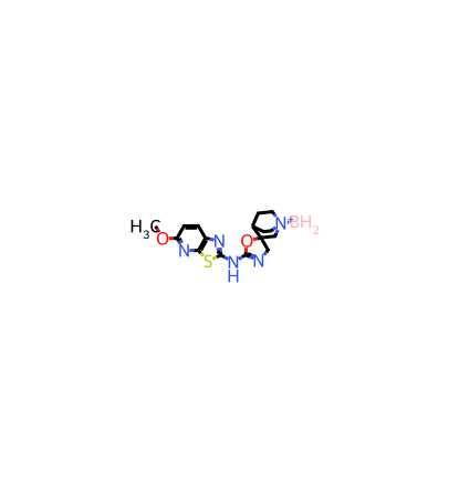 B[N+]12CCC(CC1)C1(CN=C(Nc3nc4ccc(OC)nc4s3)O1)C2